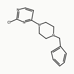 Clc1nccc(N2CCN(Cc3ccccc3)CC2)n1